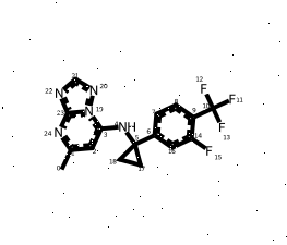 Cc1cc(NC2(c3ccc(C(F)(F)F)c(F)c3)CC2)n2ncnc2n1